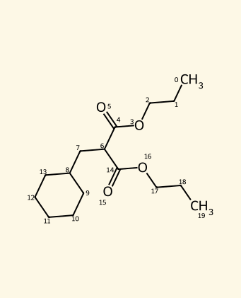 CCCOC(=O)C(CC1CCCCC1)C(=O)OCCC